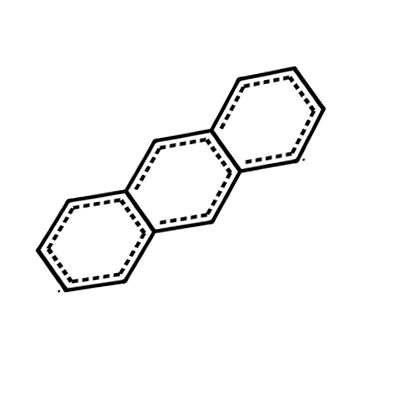 [c]1ccc2cc3ccc[c]c3cc2c1